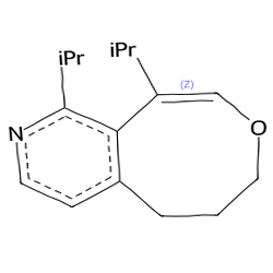 CC(C)/C1=C/OCCCc2ccnc(C(C)C)c21